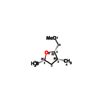 B[C@H]1C[C@@H](C)[C@@H](COC)O1